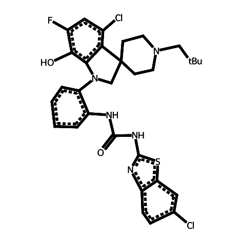 CC(C)(C)CN1CCC2(CC1)CN(c1ccccc1NC(=O)Nc1nc3ccc(Cl)cc3s1)c1c(O)c(F)cc(Cl)c12